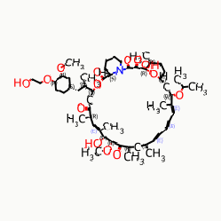 CO[C@@H]1C[C@H](C[C@@H](C)[C@@H]2CC(=O)[C@H](C)/C=C(\C)[C@@H](O)[C@@H](OC)C(=O)[C@H](C)C[C@H](C)/C=C/C=C/C=C(\C)[C@H](OC(C)C)C[C@@H]3CC[C@@H](C)[C@@](O)(O3)C(=O)C(=O)N3CCCC[C@H]3C(=O)O2)CC[C@H]1OCCO